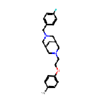 N#Cc1ccc(OCCN2CC3CC(C2)CN(Cc2ccc(F)cc2)C3)cc1